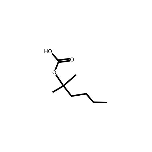 CCCCC(C)(C)OC(=O)O